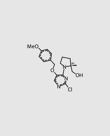 COc1ccc(COc2cnc(Cl)nc2N2CCC[C@]2(C)CO)cc1